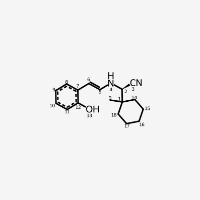 CC1([C@H](C#N)NC=Cc2ccccc2O)CCCCC1